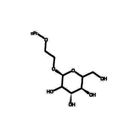 CCCOCCO[C@H]1OC(CO)[C@@H](O)[C@H](O)C1O